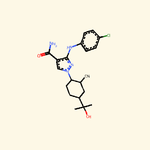 CC(C)(O)C1CCC(n2cc(C(N)=O)c(Nc3ccc(Cl)cc3)n2)C(C#N)C1